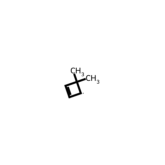 CC1(C)[CH]C=C1